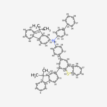 CC1(C)c2ccccc2-c2ccc(-c3cc(-c4ccc(N(c5ccc(-c6ccccc6)cc5)c5ccc6c(c5)C(C)(C)c5ccccc5-6)cc4)cc4c3sc3ccccc34)cc21